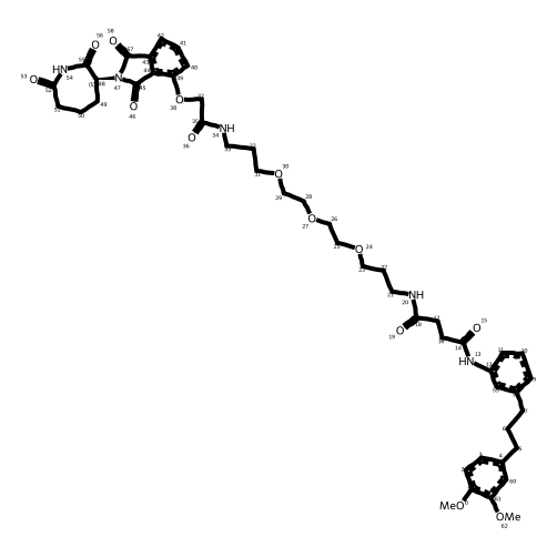 COc1ccc(CCCc2cccc(NC(=O)CCC(=O)NCCCOCCOCCOCCCNC(=O)COc3cccc4c3C(=O)N([C@H]3CCCC(=O)NC3=O)C4=O)c2)cc1OC